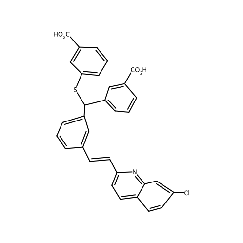 O=C(O)c1cccc(SC(c2cccc(/C=C/c3ccc4ccc(Cl)cc4n3)c2)c2cccc(C(=O)O)c2)c1